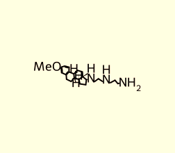 COc1ccc2c(c1)CC[C@@H]1[C@@H]2CC[C@]2(C)[C@@H](NCCCNCCCN)CC[C@@H]12